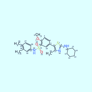 COc1ccc(-c2sc(NC3CCCCC3)nc2C)cc1S(=O)(=O)Nc1ccc(C)c(C)c1